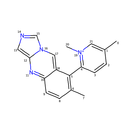 Cc1ccc(-c2c(C)ccc3nc4cncn4cc23)[n+](C)c1